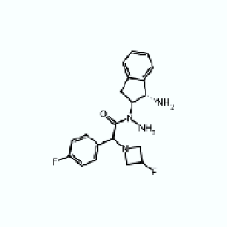 N[C@H]1c2ccccc2C[C@@H]1N(N)C(=O)C(c1ccc(F)cc1)N1CC(F)C1